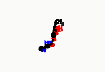 CCCCC(Cc1ccc(OCCNC(=O)c2ccc(-c3ccccn3)cc2)cc1)C(=O)O